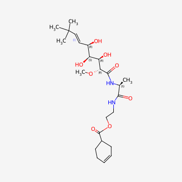 CO[C@@H](C(=O)N[C@@H](C)C(=O)NCCOC(=O)C1CC=CCC1)[C@H](O)[C@@H](O)[C@H](O)/C=C/C(C)(C)C